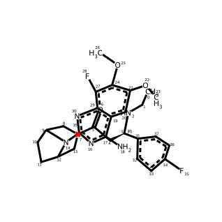 CCN[C@H](CC(=O)N1CC2CCC(C1)N2c1nc(N)c2cc(OC)c(OC)c(F)c2n1)c1ccc(F)cc1